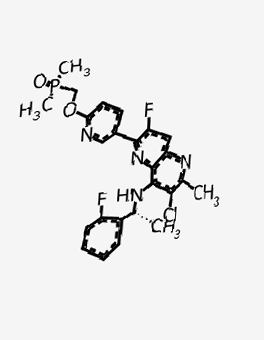 Cc1nc2cc(F)c(-c3ccc(OCP(C)(C)=O)nc3)nc2c(N[C@H](C)c2ccccc2F)c1Cl